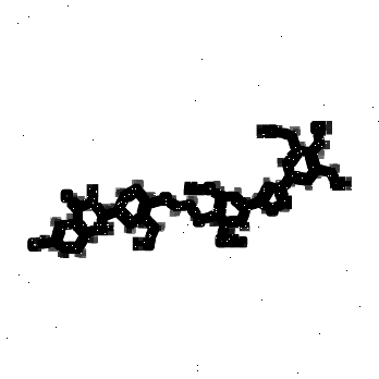 COc1cc(-c2cc(-c3cc(CO)c(CO)c(CO)c3)no2)cc(OC)c1OCCOc1ccc(C2NC(=O)c3cc(Cl)ccc3N2)cc1CO